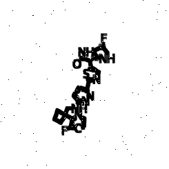 NC(=O)C(c1cnc(-c2ccc(NCC3(c4ncccc4F)CCC3)nn2)s1)[C@H]1C[C@@H](F)CN1